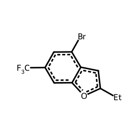 CCc1cc2c(Br)cc(C(F)(F)F)cc2o1